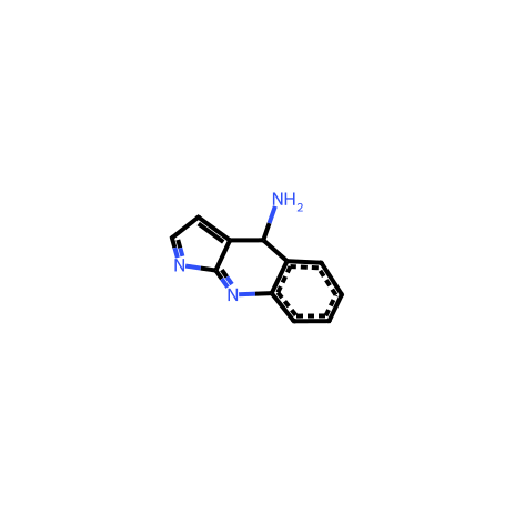 NC1C2=CC=NC2=Nc2ccccc21